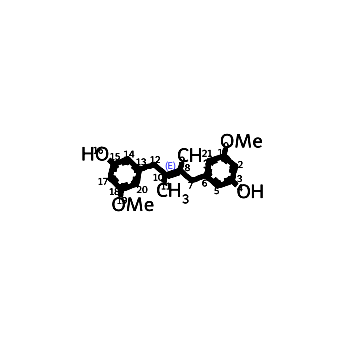 COc1cc(O)cc(C/C(C)=C(\C)Cc2cc(O)cc(OC)c2)c1